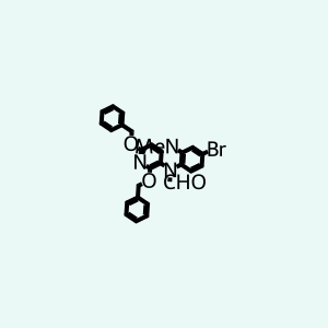 CNc1cc(Br)ccc1N(C=O)c1ccc(OCc2ccccc2)nc1OCc1ccccc1